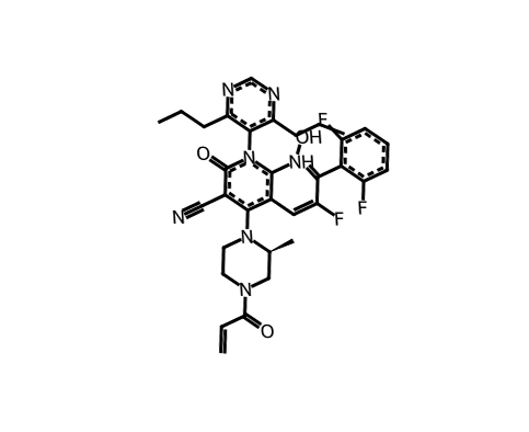 C=CC(=O)N1CCN(c2c(/C=C(/F)C(=C)c3c(F)cccc3F)c(NO)n(-c3c(CCC)ncnc3CCC)c(=O)c2C#N)[C@@H](C)C1